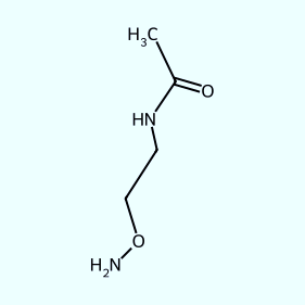 CC(=O)NCCON